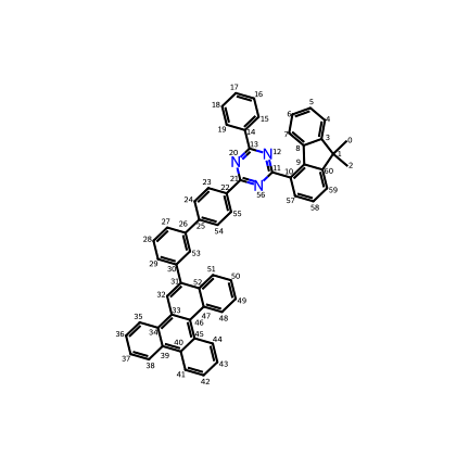 CC1(C)c2ccccc2-c2c(-c3nc(-c4ccccc4)nc(-c4ccc(-c5cccc(-c6cc7c8ccccc8c8ccccc8c7c7ccccc67)c5)cc4)n3)cccc21